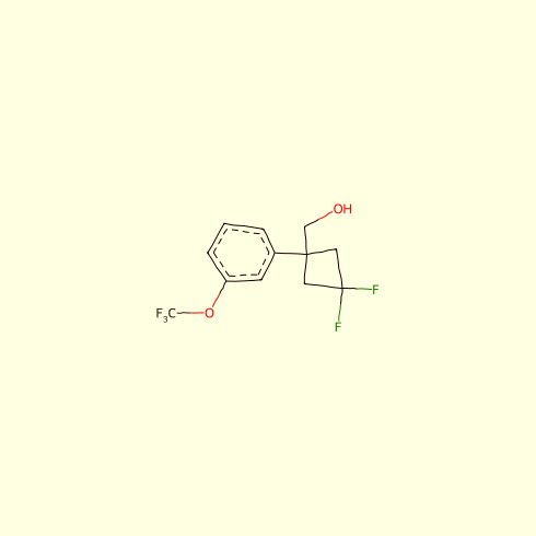 OCC1(c2cccc(OC(F)(F)F)c2)CC(F)(F)C1